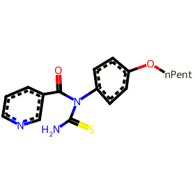 CCCCCOc1ccc(N(C(=O)c2cccnc2)C(N)=S)cc1